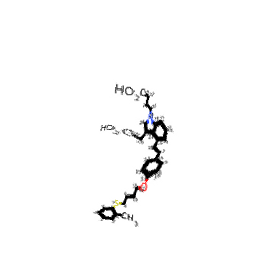 Cc1ccccc1SCCCCOc1ccc(/C=C/c2cccc3c2c(CC(=O)O)cn3CCCC(=O)O)cc1